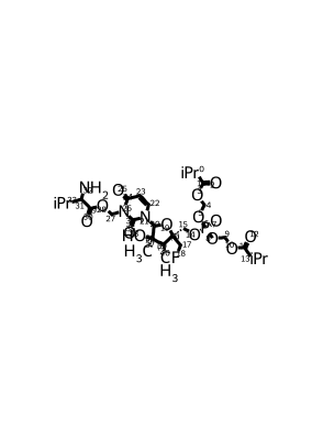 CC(C)C(=O)OCOP(=O)(OCOC(=O)C(C)C)OC[C@@]1(CF)OC(n2ccc(=O)n(COC(=O)C(N)C(C)C)c2=O)[C@](C)(O)[C@@H]1C